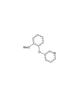 COc1ccccc1Oc1cccnc1